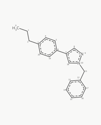 CCCc1ccc(-c2cnn(Cc3ccccc3)c2)cc1